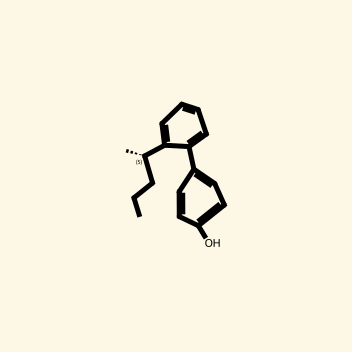 CCC[C@H](C)c1ccccc1-c1ccc(O)cc1